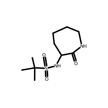 CC(C)(C)S(=O)(=O)NC1CCCCNC1=O